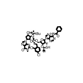 Cn1cnc2c(ncn2[C@@H]2C[C@H](O)[C@@H](O[Si](C)(C)C(C)(C)C)[C@H]2OP(=S)(OC[C@H]2O[C@@H](n3cnc4c(NC(=O)c5ccccc5)ncnc43)[C@H](F)[C@@H]2O[PH](=O)S)SCc2ccc(Cl)cc2Cl)c1=O